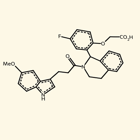 COc1ccc2[nH]cc(CCC(=O)N3CCc4ccccc4C3c3cc(F)ccc3OCC(=O)O)c2c1